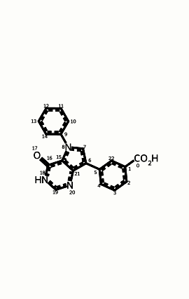 O=C(O)c1cccc(-c2cn(-c3ccccc3)c3c(=O)[nH]cnc23)c1